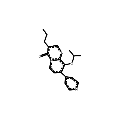 CCCc1cnc2c(OC(C)C)c(-c3ccncc3)ccn2c1=O